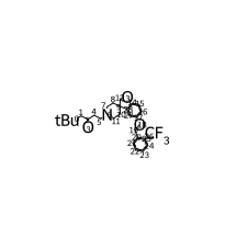 CC(C)(C)CC(=O)CCN1CCC2(CC1)COc1ccc(OCc3ccccc3C(F)(F)F)cc12